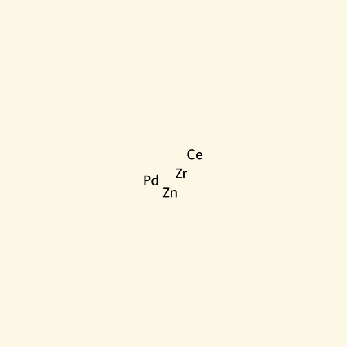 [Ce].[Pd].[Zn].[Zr]